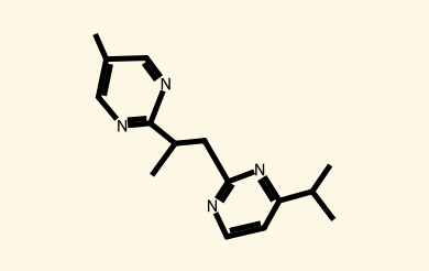 Cc1cnc(C(C)Cc2nccc(C(C)C)n2)nc1